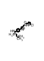 CN(C)CCN(C)C(=N)c1ccc(-c2cc(CNC(=O)c3ccc(Cl)s3)on2)cc1